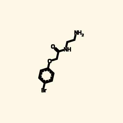 NCCNC(=O)COc1ccc(Br)cc1